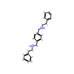 c1ccc(CCNCc2ccc(CNCCc3ccccc3)cc2)cc1